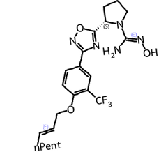 CCCCC/C=C/COc1ccc(-c2noc([C@@H]3CCCN3/C(N)=N/O)n2)cc1C(F)(F)F